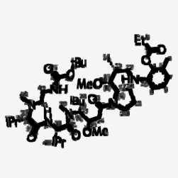 CCC(=O)Oc1c(C)cccc1NC[C@@H](C)[C@@H](OC)[C@@H]1CCCN1C(=O)C[C@@H](OC)[C@H]([C@@H](C)CC)N(C)C(=O)[C@@H](NC(=O)[C@H](C(C)C)N(C)CCNC(=O)OC(C)(C)C)C(C)C